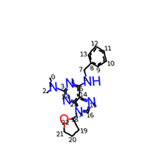 CN(C)c1nc(NCc2ccccc2)c2ncn(C3CCCO3)c2n1